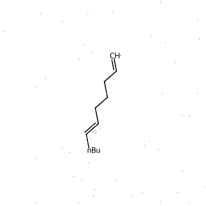 [CH]=CCCC/C=C/CCCC